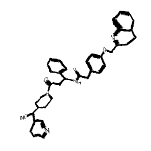 N#CC(c1cccnc1)C1CCN(C(=O)CC(NC(=O)Cc2ccc(OCc3ccc4ccccc4n3)cc2)c2ccccc2)CC1